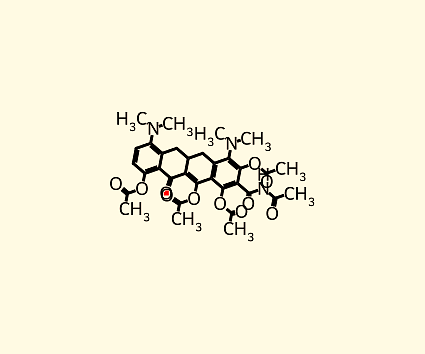 CC(=O)NC(=O)c1c(OC(C)=O)c2c(c(N(C)C)c1OC(C)=O)CC1Cc3c(N(C)C)ccc(OC(C)=O)c3C(=O)C1=C2OC(C)=O